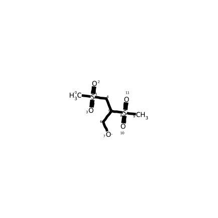 CS(=O)(=O)CC(C[O])S(C)(=O)=O